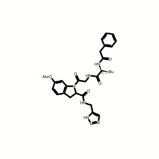 CC[C@H](C)[C@H](NC(=O)Cc1ccccc1)C(=O)NCC(=O)N1c2cc(OC)ccc2CC1C(=O)NCc1cnn[nH]1